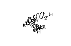 O=C(O)c1cc2c(cc(-c3ccc(O)cc3Cl)n2-c2ccc3c(c2)OC2(CCCCC2)NC3=O)s1